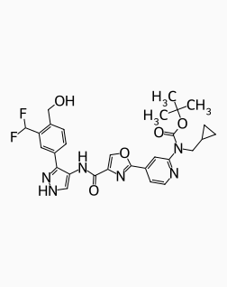 CC(C)(C)OC(=O)N(CC1CC1)c1cc(-c2nc(C(=O)Nc3c[nH]nc3-c3ccc(CO)c(C(F)F)c3)co2)ccn1